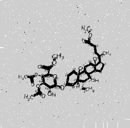 CC[C@H]1[C@@H](O)C2C3CC[C@H]([C@H](C)CCC(=O)OC)[C@@]3(C)CCC2[C@@]2(C)CC[C@@H](O[C@@H]3O[C@H](C(=O)OC)[C@@H](OC(C)=O)[C@H](OC(C)=O)[C@H]3O)C[C@@H]12